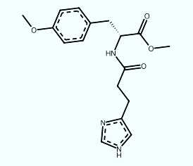 COC(=O)[C@@H](Cc1ccc(OC)cc1)NC(=O)CCc1c[nH]cn1